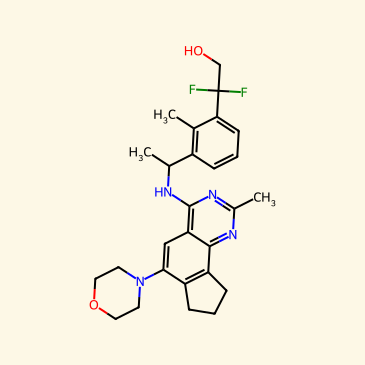 Cc1nc(NC(C)c2cccc(C(F)(F)CO)c2C)c2cc(N3CCOCC3)c3c(c2n1)CCC3